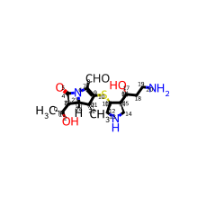 C[C@@H](O)[C@H]1C(=O)N2C(C=O)=C(S[C@@H]3CNC[C@@H]3[C@H](O)CCN)[C@H](C)[C@H]12